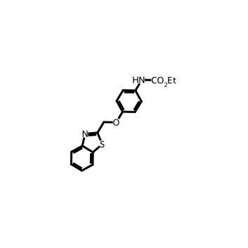 CCOC(=O)Nc1ccc(OCc2nc3ccccc3s2)cc1